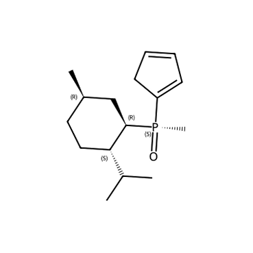 CC(C)[C@@H]1CC[C@@H](C)C[C@H]1[P@](C)(=O)C1=CC=CC1